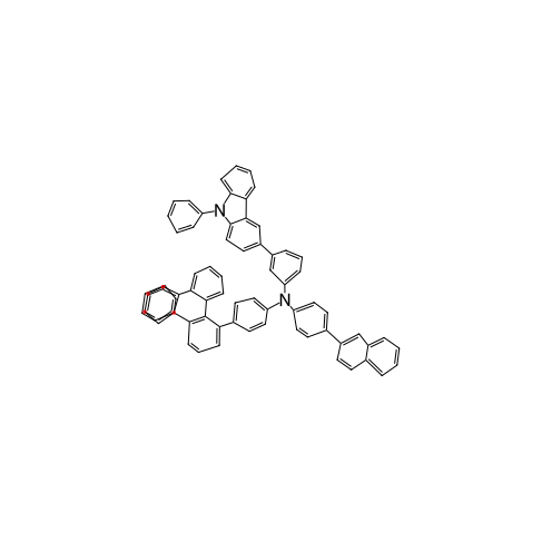 c1ccc(-c2ccccc2-c2c(-c3ccccc3)cccc2-c2ccc(N(c3ccc(-c4ccc5ccccc5c4)cc3)c3cccc(-c4ccc5c(c4)c4ccccc4n5-c4ccccc4)c3)cc2)cc1